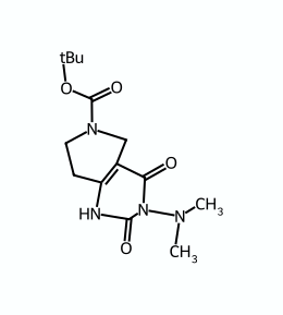 CN(C)n1c(=O)[nH]c2c(c1=O)CN(C(=O)OC(C)(C)C)CC2